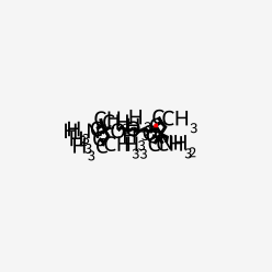 CC(C)(C)CC(CN)(COCCOCCOCC(CN)(CC(C)(C)C)C(C)(C)C)C(C)(C)C